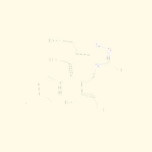 CC1=NNC2C(CC(=O)O)C(C)=C(c3ccc(Cl)cc3)c3c(sc(C)c3C)N12